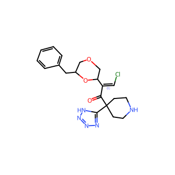 O=C(/C(=C/Cl)C1COCC(Cc2ccccc2)O1)C1(c2nnn[nH]2)CCNCC1